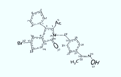 CC(=O)c1c(-c2ccccc2)c2cc(Br)ccc2c(=O)n1Cc1ccc(C(C)=NO)cc1